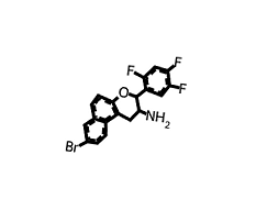 NC1Cc2c(ccc3cc(Br)ccc23)OC1c1cc(F)c(F)cc1F